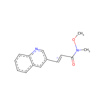 CON(C)C(=O)/C=C/c1cnc2ccccc2c1